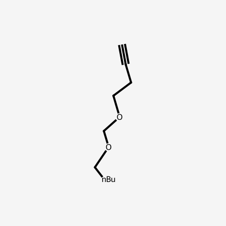 C#CCCOCOCCCCC